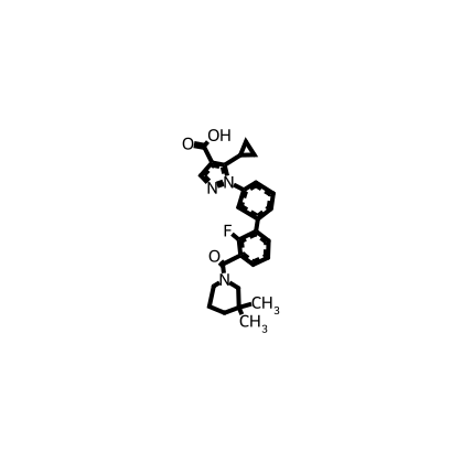 CC1(C)CCCN(C(=O)c2cccc(-c3cccc(-n4ncc(C(=O)O)c4C4CC4)c3)c2F)C1